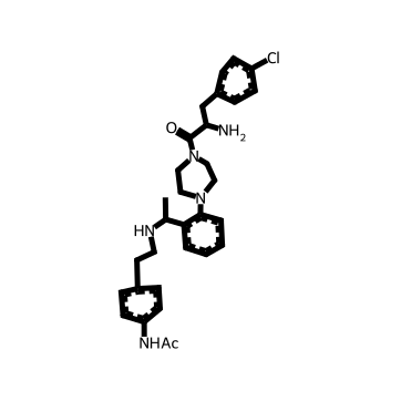 CC(=O)Nc1ccc(CCNC(C)c2ccccc2N2CCN(C(=O)C(N)Cc3ccc(Cl)cc3)CC2)cc1